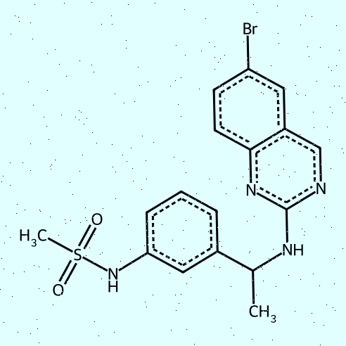 CC(Nc1ncc2cc(Br)ccc2n1)c1cccc(NS(C)(=O)=O)c1